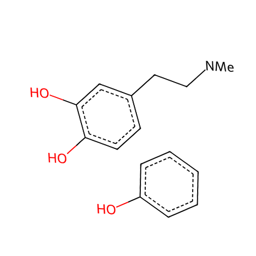 CNCCc1ccc(O)c(O)c1.Oc1ccccc1